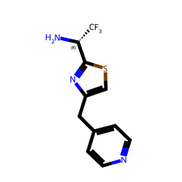 N[C@@H](c1nc(Cc2ccncc2)cs1)C(F)(F)F